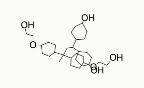 CC(CC(C1CCC(O)CC1)C1CCC(O)CC1)(C1CCC(OCCO)CC1)C1CCC(OCCO)CC1